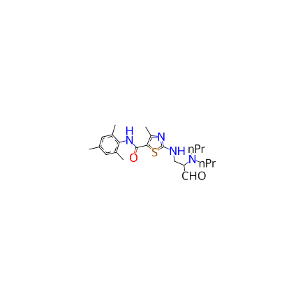 CCCN(CCC)C(C=O)CNc1nc(C)c(C(=O)Nc2c(C)cc(C)cc2C)s1